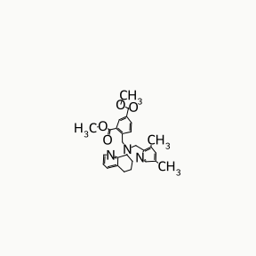 COC(=O)c1ccc(CN(Cc2ncc(C)cc2C)[C@H]2CCCc3cccnc32)c(C(=O)OC)c1